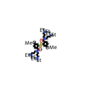 CCN(CC)CCCN(CCCN(CC)CC)C(=O)c1ccc(OC)cc1SSc1cc(OC)ccc1C(=O)N(CCCN(CC)CC)CCCN(CC)CC